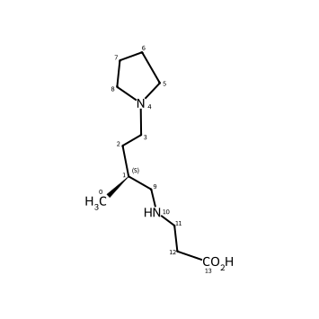 C[C@@H](CCN1CCCC1)CNCCC(=O)O